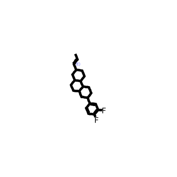 C/C=C/C1CCC2C(CCC3CC(c4ccc(F)c(F)c4)CCC32)C1